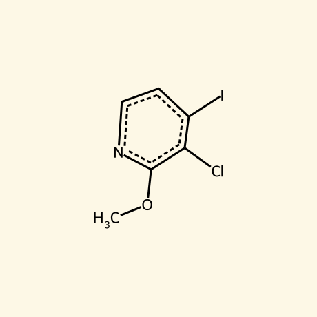 COc1nccc(I)c1Cl